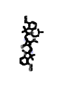 COC1=C(/C=C2\N(C)c3cccc(N=O)c3C2(C)C)C(=O)/C1=C/C1=[N+](CCC(C)C)c2cccc(N=O)c2C1(C)C